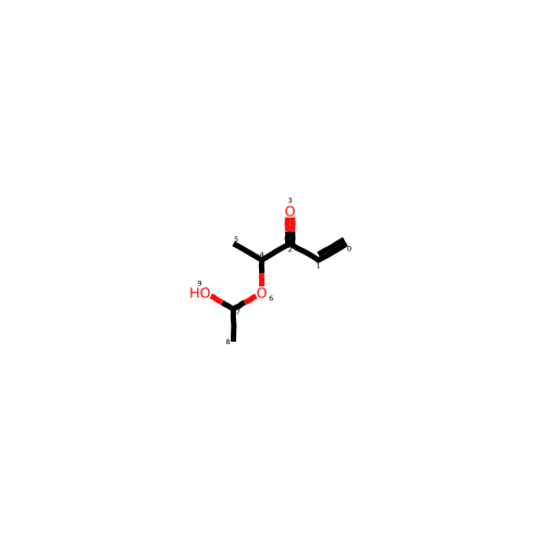 C=CC(=O)C(C)OC(C)O